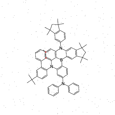 Cc1cc2c3c(c1)N(c1ccc(C(C)(C)C)cc1-c1ccccc1)c1cc(N(c4ccccc4)c4ccccc4)ccc1B3c1cc3c(cc1N2c1ccc2c(c1)C(C)(C)CC2(C)C)C(C)(C)CC3(C)C